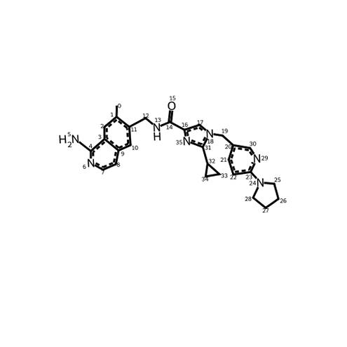 Cc1cc2c(N)nccc2cc1CNC(=O)c1cn(Cc2ccc(N3CCCC3)nc2)c(C2CC2)n1